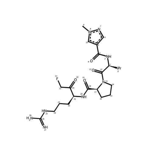 CC(C)[C@H](NC(=O)c1cnn(C)c1)C(=O)N1CCC[C@H]1C(=O)N[C@@H](CCCNC(=N)N)C(=O)CF